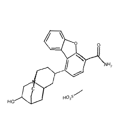 CS(=O)(=O)O.NC(=O)c1ccc(C2CC3CC4CC(C2)N3CC4O)c2c1oc1ccccc12